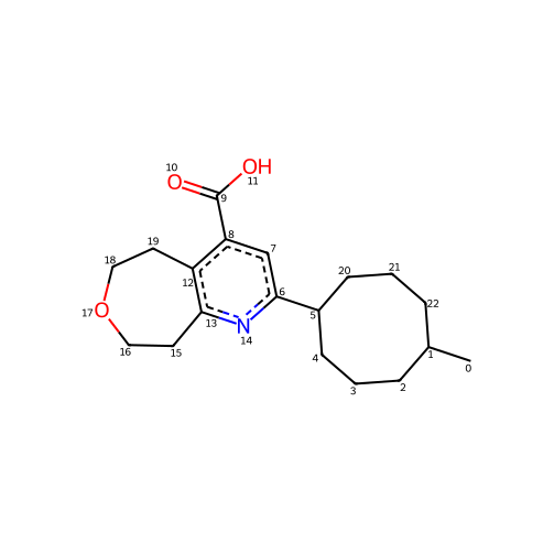 CC1CCCC(c2cc(C(=O)O)c3c(n2)CCOCC3)CCC1